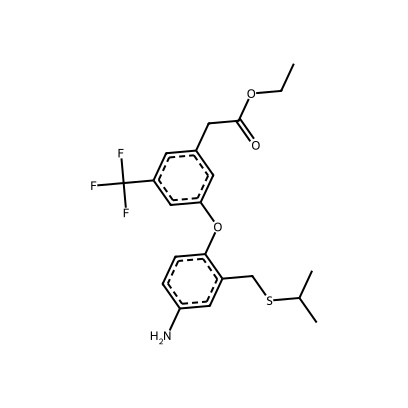 CCOC(=O)Cc1cc(Oc2ccc(N)cc2CSC(C)C)cc(C(F)(F)F)c1